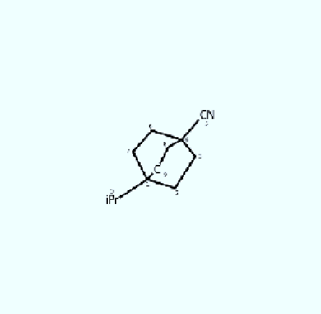 CC(C)C12CCC(C#N)(CC1)CC2